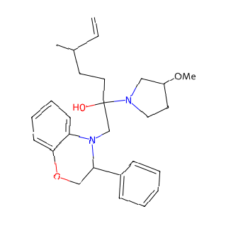 C=CC(C)CCC(O)(CN1c2ccccc2OCC1c1ccccc1)N1CCC(OC)C1